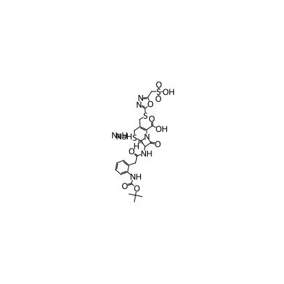 CC(C)(C)OC(=O)Nc1ccccc1CC(=O)NC1C(=O)N2C(C(=O)O)=C(CSc3nnc(CS(=O)(=O)O)o3)CS[C@H]12.[NaH].[NaH]